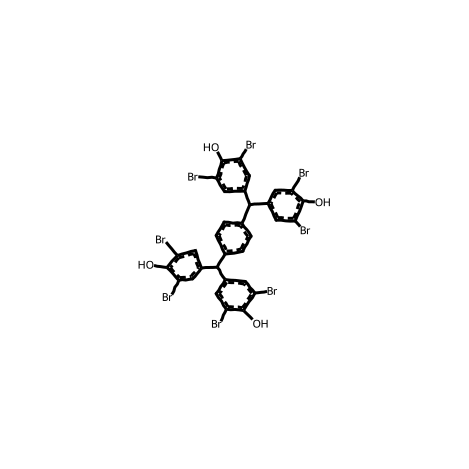 Oc1c(Br)cc(C(c2ccc(C(c3cc(Br)c(O)c(Br)c3)c3cc(Br)c(O)c(Br)c3)cc2)c2cc(Br)c(O)c(Br)c2)cc1Br